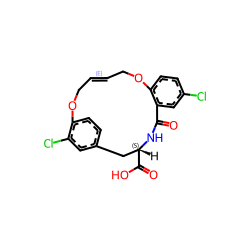 O=C1N[C@H](C(=O)O)Cc2ccc(c(Cl)c2)OC/C=C/COc2ccc(Cl)cc21